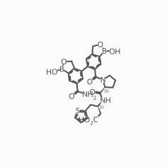 NC(=O)c1cc2c(c(-c3cc4c(cc3C(=O)N3CCC[C@H]3C(=O)N[C@@H](CC(=O)O)Cc3cccs3)B(O)OC4)c1)COB2O